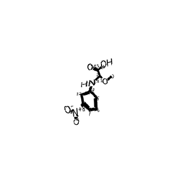 COC(Nc1cccc([N+](=O)[O-])c1)C(=O)O